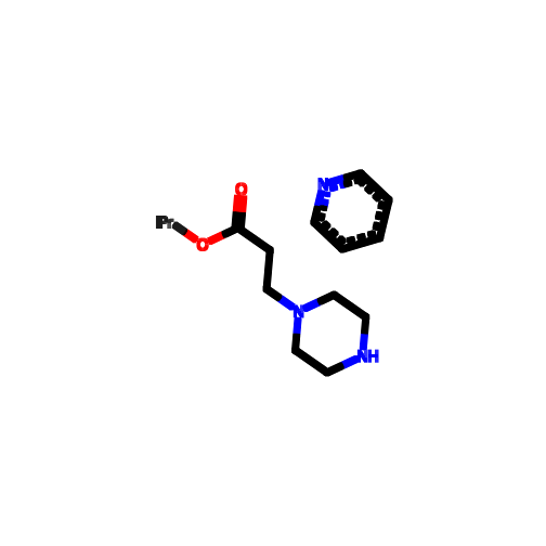 CC(C)OC(=O)CCN1CCNCC1.c1ccncc1